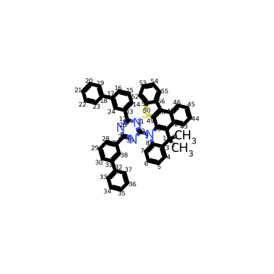 CC1(C)c2ccccc2N(c2nc(-c3cccc(-c4ccccc4)c3)nc(-c3cccc(-c4ccccc4)c3)n2)c2c1c1ccccc1c1c2sc2ccccc21